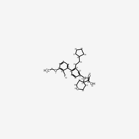 CCOc1cccc(-c2ccc(NC3(C(=O)O)CCOCC3)cc2CCC2CCCC2)c1F